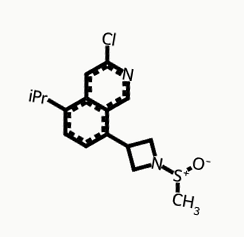 CC(C)c1ccc(C2CN([S+](C)[O-])C2)c2cnc(Cl)cc12